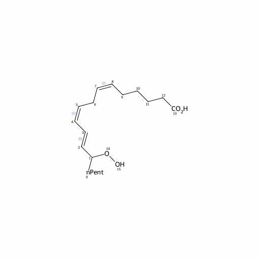 CCCCCC(/C=C/C=C\C/C=C\CCCCC(=O)O)OO